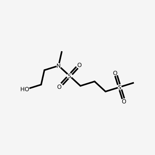 CN(CCO)S(=O)(=O)CCCS(C)(=O)=O